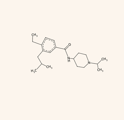 CCc1ccc(C(=O)NC2CCN(C(C)C)CC2)cc1CC(C)C